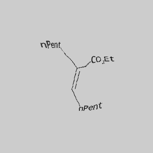 CCCCCC=C(CCCCC)C(=O)OCC